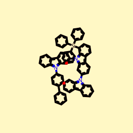 c1ccc(-c2ccc(-n3c4ccccc4c4ccc(-n5c6cc(-n7c8ccccc8c8ccccc87)ccc6c6cccc([Si](c7ccccc7)(c7ccccc7)c7ccccc7)c65)cc43)cc2)cc1